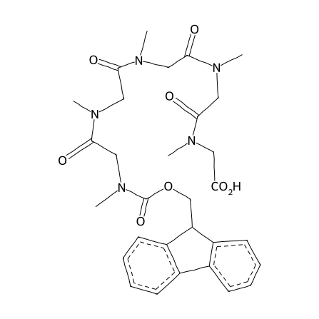 CN(CC(=O)O)C(=O)CN(C)C(=O)CN(C)C(=O)CN(C)C(=O)CN(C)C(=O)OCC1c2ccccc2-c2ccccc21